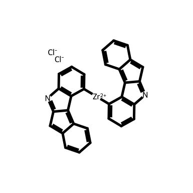 C1=c2ccccc2=C2C1=Nc1ccc[c]([Zr+2][c]3cccc4c3C3=c5ccccc5=CC3=N4)c12.[Cl-].[Cl-]